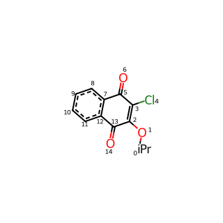 CC(C)OC1=C(Cl)C(=O)c2ccccc2C1=O